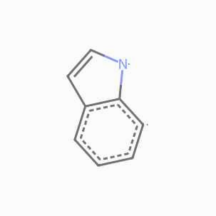 [c]1cccc2c1[N]C=C2